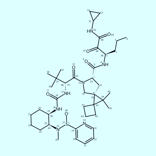 CCC[C@@H](NC(=O)[C@@H]1C[C@]2(CN1C(=O)[C@H](NC(=O)N[C@@H]1CCCC[C@@H]1N(C)[S+]([O-])c1ccccn1)C(C)(C)C)C(C)(C)C21CCC1)C(=O)C(=O)NC1CC1